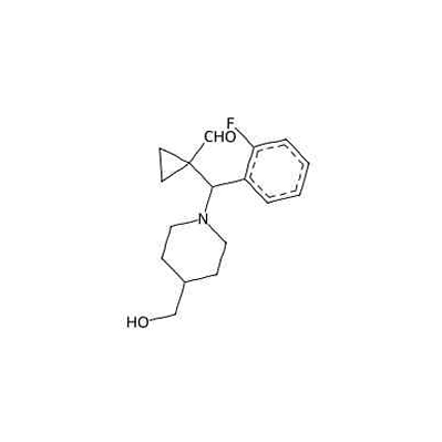 O=CC1(C(c2ccccc2F)N2CCC(CO)CC2)CC1